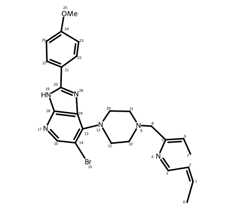 C\C=C/C=N\C(=C/C)CN1CCN(c2c(Br)cnc3[nH]c(-c4ccc(OC)cc4)nc23)CC1